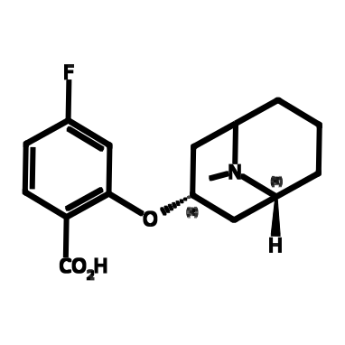 CN1C2CCC[C@@H]1C[C@H](Oc1cc(F)ccc1C(=O)O)C2